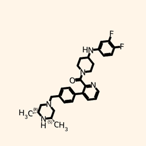 C[C@@H]1CN(Cc2ccc(-c3cccnc3C(=O)N3CCC(Nc4ccc(F)c(F)c4)CC3)cc2)C[C@H](C)N1